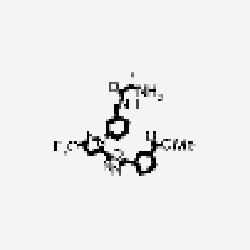 COC(=O)c1cccc(-c2nnc(-c3cc(C(F)(F)F)nn3-c3cccc(CNC(=O)[C@H](C)N)c3)o2)c1